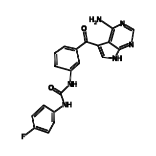 Nc1ncnc2[nH]cc(C(=O)c3cccc(NC(=O)Nc4ccc(F)cc4)c3)c12